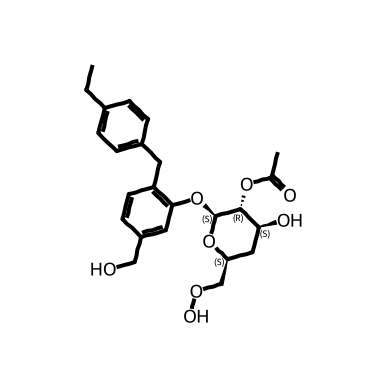 CCc1ccc(Cc2ccc(CO)cc2O[C@@H]2O[C@H](COO)C[C@H](O)[C@H]2OC(C)=O)cc1